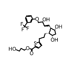 O=C(OCCCO)c1ccc(CCC[C@@H]2[C@@H](/C=C/[C@@H](O)COc3cccc(C(F)(F)F)c3)[C@H](O)C[C@@H]2O)s1